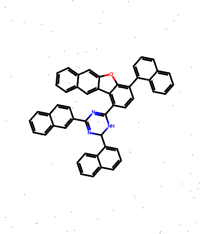 c1ccc2cc(C3=NC(c4cccc5ccccc45)NC(c4ccc(-c5cccc6ccccc56)c5oc6cc7ccccc7cc6c45)=N3)ccc2c1